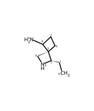 CC[C@@H]1NC[C@]12CCC2N